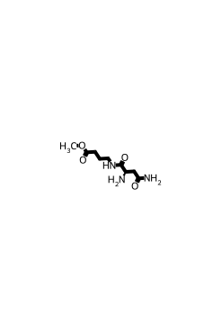 COC(=O)CCCNC(=O)[C@H](N)CC(N)=O